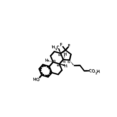 C[C@]12CC[C@@H]3c4ccc(O)cc4CC[C@H]3[C@@H]1[C@@H](CCCC(=O)O)CC2(F)F